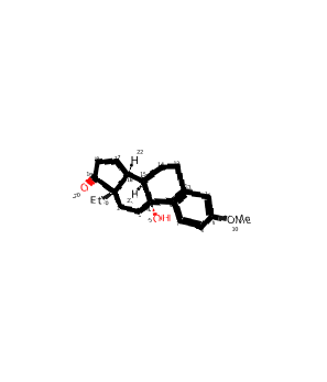 CC[C@]12CC[C@]3(O)c4ccc(OC)cc4CC[C@@H]3[C@@H]1CCC2=O